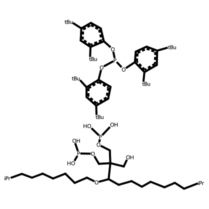 CC(C)(C)c1ccc(OP(Oc2ccc(C(C)(C)C)cc2C(C)(C)C)Oc2ccc(C(C)(C)C)cc2C(C)(C)C)c(C(C)(C)C)c1.CC(C)CCCCCCCOC(CCCCCCCC(C)C)C(CO)(COP(O)O)COP(O)O